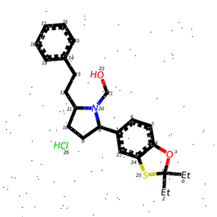 CCC1(CC)Oc2ccc(C3CCC(CCc4ccccc4)N3CO)cc2S1.Cl